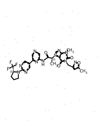 Cc1cc(Cn2c(=O)c3c(ncn3[C@@H](C)C(=O)Nc3cncc(-c4cnc(N5CCC[C@H]5C(F)(F)F)nc4)n3)n(C)c2=O)no1